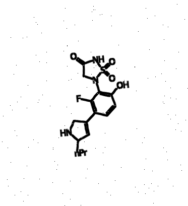 CCCC1C=C(c2ccc(O)c(N3CC(=O)NS3(=O)=O)c2F)CN1